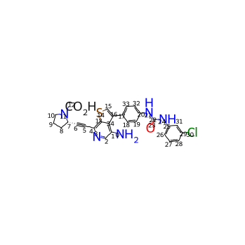 Nc1cnc(C#C[C@@H]2CCCN2C(=O)O)c2scc(-c3ccc(NC(=O)Nc4cccc(Cl)c4)cc3)c12